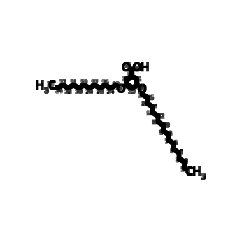 CCCCCCCCCCCCCCCCCCOc1cc(OCCCCCCCCCCCCC)cc(C(=O)O)c1